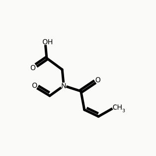 C/C=C\C(=O)N(C=O)CC(=O)O